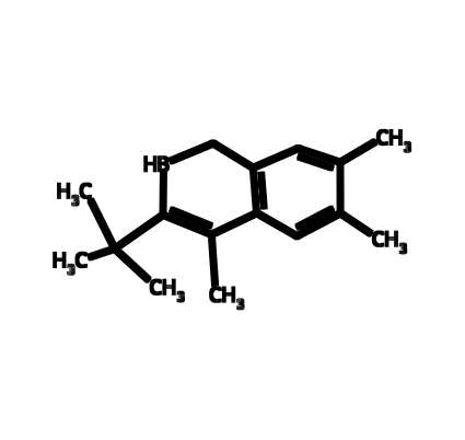 CC1=C(C(C)(C)C)BCc2cc(C)c(C)cc21